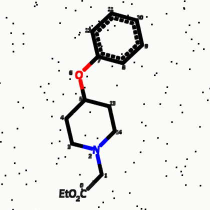 CCOC(=O)CN1CCC(Oc2ccccc2)CC1